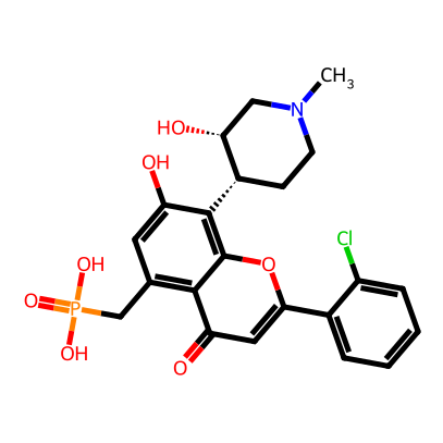 CN1CC[C@H](c2c(O)cc(CP(=O)(O)O)c3c(=O)cc(-c4ccccc4Cl)oc23)[C@H](O)C1